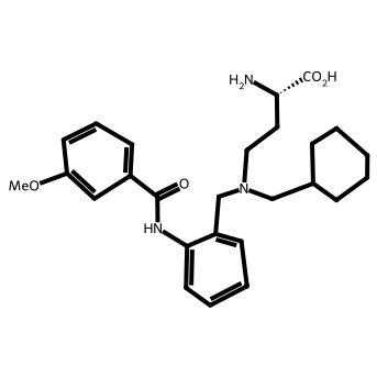 COc1cccc(C(=O)Nc2ccccc2CN(CC[C@H](N)C(=O)O)CC2CCCCC2)c1